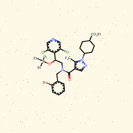 CCOC(=O)C1CCC(n2ncc(C(=O)N(Cc3ccccc3Br)CC(O[Si](CC)(CC)CC)c3c(Cl)cncc3Cl)c2C(F)(F)F)CC1